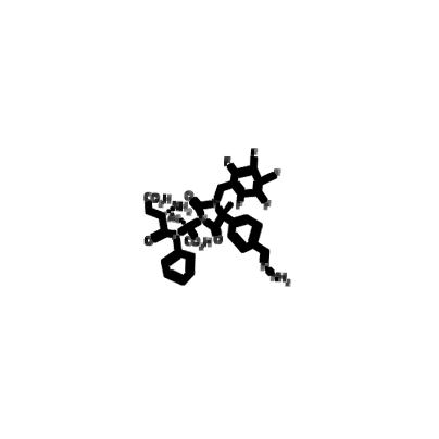 CC(=O)[C@@](C(=O)O)(N1C(=O)N(Cc2c(F)c(F)c(F)c(F)c2F)[C@](C)(c2ccc(C=NN)cc2)C1=O)N(C(=O)[C@@H](N)CC(=O)O)c1ccccc1